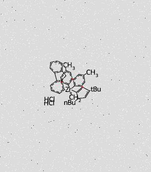 Cl.Cl.[CH2]=[Zr]([C]1=CC(C(C)(C)C)=CC1CCCC)([c]1ccc(C)cc1)([c]1ccc(C)cc1)[c]1cccc2c1Cc1ccccc1-2